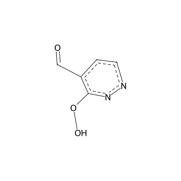 O=Cc1ccnnc1OO